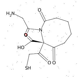 NCC(=O)N1C(=O)CCCCC(=O)[C@]1(C(=O)O)C(=O)CS